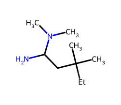 CCC(C)(C)CC(N)N(C)C